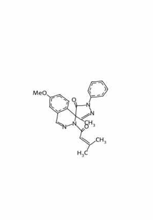 COc1ccc2c(c1)C=NN(C(=O)C=C(C)C)C21C(=O)N(c2ccccc2)N=C1C